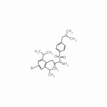 CC(C)c1cc(Br)cc(C(C)C)c1CC(=O)N(N)S(=O)(=O)c1ccc(CN(C)C)cc1